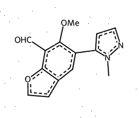 COc1c(-c2ccnn2C)cc2ccoc2c1C=O